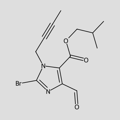 CC#CCn1c(Br)nc(C=O)c1C(=O)OCC(C)C